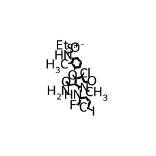 CC[S+]([O-])Nc1cccc(Oc2c(C(N)=O)c(Nc3ccc(I)cc3F)n(C)c(=O)c2Cl)c1C